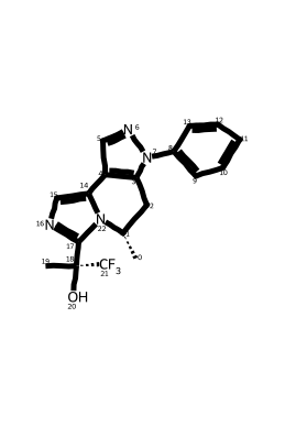 C[C@H]1Cc2c(cnn2-c2ccccc2)-c2cnc([C@](C)(O)C(F)(F)F)n21